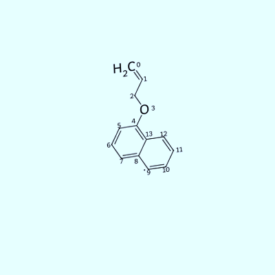 C=CCOc1cccc2[c]cccc12